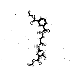 CCOC(=O)c1cccc(C(=O)NCCC(=O)Nc2nc(C)c(C(=O)OCC)s2)c1